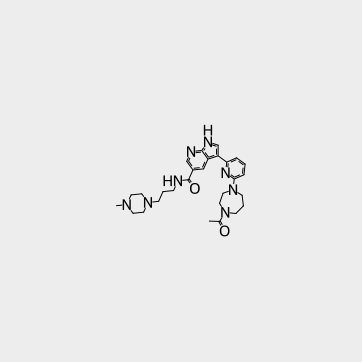 CC(=O)N1CCCN(c2cccc(-c3c[nH]c4ncc(C(=O)NCCCN5CCN(C)CC5)cc34)n2)CC1